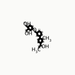 CCC(O)c1ccc(-c2cccc(COc3ccc(CO)c(CO)c3)c2)c(C)c1